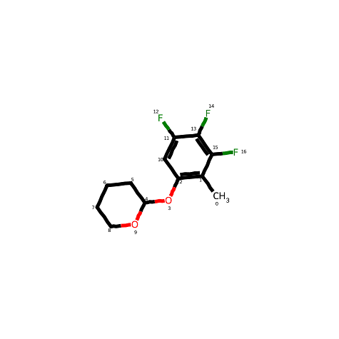 Cc1c(OC2CCCCO2)cc(F)c(F)c1F